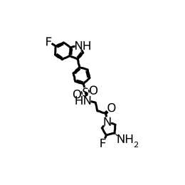 N[C@H]1CN(C(=O)CCNS(=O)(=O)c2ccc(-c3c[nH]c4cc(F)ccc34)cc2)CC1F